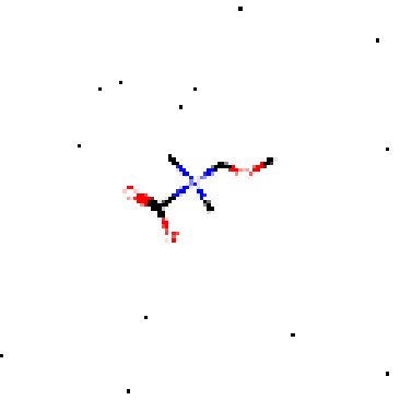 COC[N+](C)(C)C(=O)[O-]